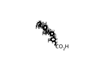 O=C(O)CCC1=CC(F)=CC(F)(c2cccc(NS(=O)(=O)c3cccc(NC4=NCCN4)c3)c2)C1